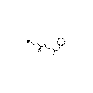 CC(C)CCC(=O)OCCC(C)Cc1ccccc1